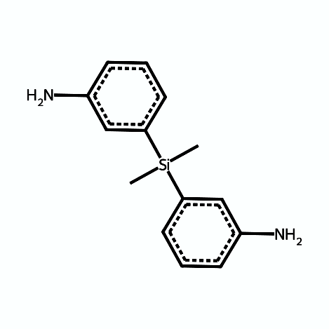 C[Si](C)(c1cccc(N)c1)c1cccc(N)c1